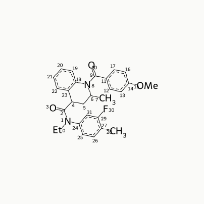 CCN(C(=O)C1CC(C)N(C(=O)c2ccc(OC)cc2)c2ccccc21)c1ccc(C)c(F)c1